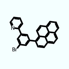 Brc1cc(-c2ccccn2)cc(-c2ccc3ccc4cccc5ccc2c3c45)c1